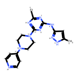 CCc1nc(Nc2cc(C)[nH]n2)nc(N2CCN(c3ccncc3)CC2)n1